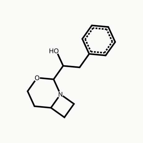 OC(Cc1ccccc1)C1OCCC2CCN21